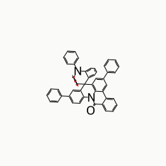 O=c1c2ccccc2c2cc(-c3ccccc3)cc3c2n1-c1ccc(-c2ccccc2)cc1C31c2ccccc2N(c2ccccc2)c2ccccc21